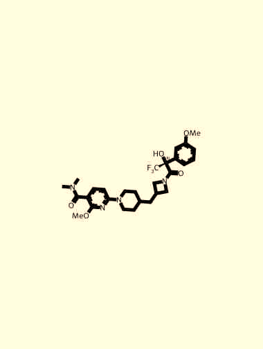 COc1cccc([C@@](O)(C(=O)N2CC(CC3CCN(c4ccc(C(=O)N(C)C)c(OC)n4)CC3)C2)C(F)(F)F)c1